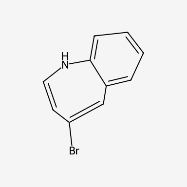 BrC1=Cc2ccccc2NC=C1